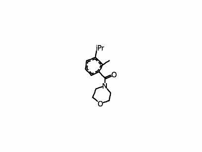 Cc1c(C(=O)N2CCOCC2)cccc1C(C)C